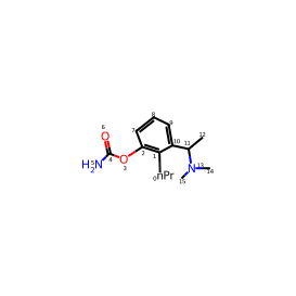 CCCc1c(OC(N)=O)cccc1C(C)N(C)C